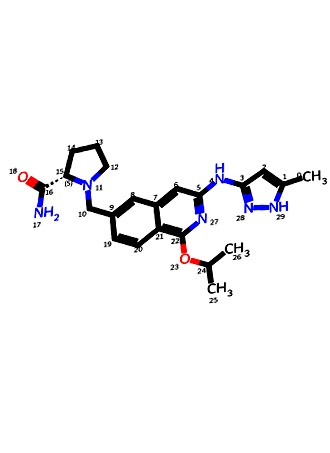 Cc1cc(Nc2cc3cc(CN4CCC[C@H]4C(N)=O)ccc3c(OC(C)C)n2)n[nH]1